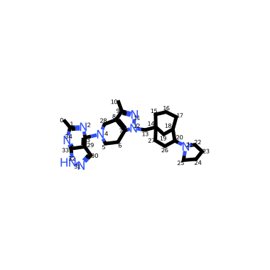 Cc1nc(N2CCc3c(c(C)nn3CC34CCCC(C3)C(N3CCCC3)CC4)C2)c2cn[nH]c2n1